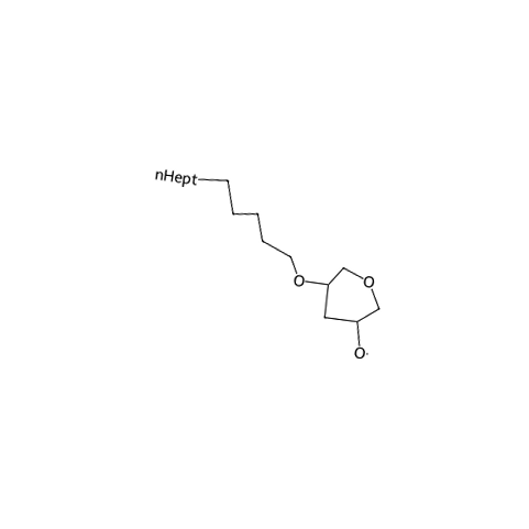 [CH2]CCCCCCCCCCCOC1COCC([O])C1